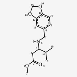 COC(=O)CC(NCc1ccc2c(c1)OCO2)C(C)C